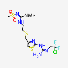 CN/C(=N/S(C)(=O)=O)NCCSCc1csc(N/C(N)=N\CC(F)(F)Cl)n1